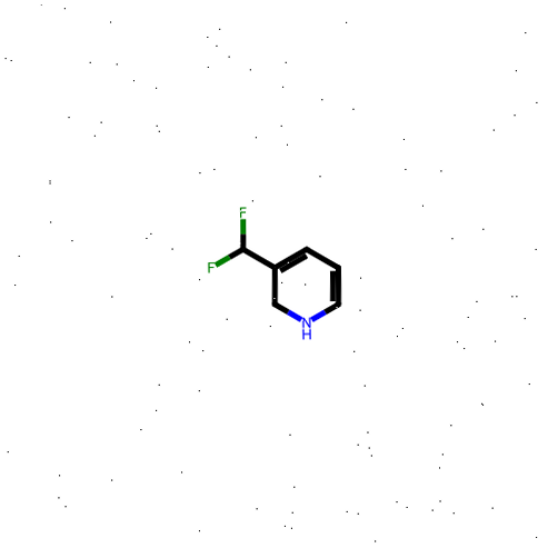 FC(F)C1=CC=CNC1